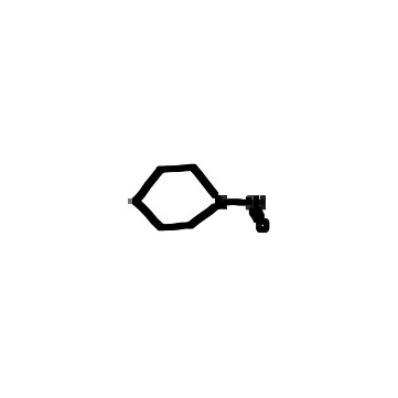 O=[SH]N1CC[CH]CC1